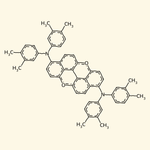 Cc1ccc(N(c2ccc(C)c(C)c2)c2ccc3oc4ccc5c(N(c6ccc(C)c(C)c6)c6ccc(C)c(C)c6)ccc6oc7ccc2c3c7-c4c65)cc1C